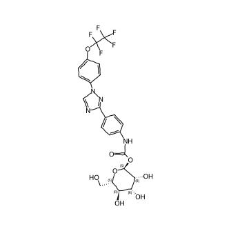 O=C(Nc1ccc(-c2ncn(-c3ccc(OC(F)(F)C(F)(F)F)cc3)n2)cc1)O[C@@H]1O[C@@H](CO)[C@H](O)[C@@H](O)[C@H]1O